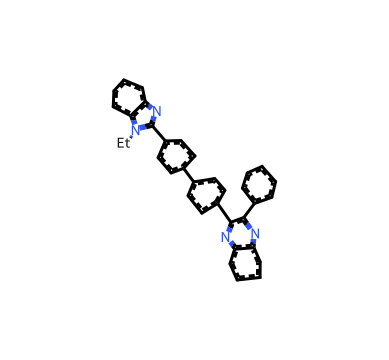 CCn1c(-c2ccc(-c3ccc(-c4nc5ccccc5nc4-c4ccccc4)cc3)cc2)nc2ccccc21